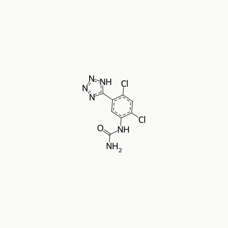 NC(=O)Nc1cc(-c2nnn[nH]2)c(Cl)cc1Cl